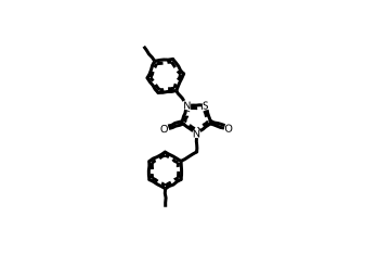 Cc1ccc(-n2sc(=O)n(Cc3cccc(C)c3)c2=O)cc1